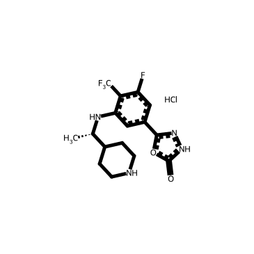 C[C@H](Nc1cc(-c2n[nH]c(=O)o2)cc(F)c1C(F)(F)F)C1CCNCC1.Cl